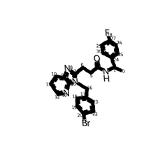 CC(NC(=O)CCc1nc2cccnc2n1Cc1ccc(Br)cc1)c1ccc(F)cc1